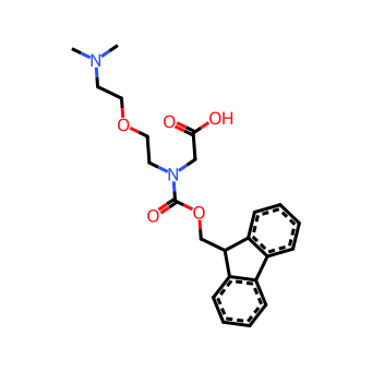 CN(C)CCOCCN(CC(=O)O)C(=O)OCC1c2ccccc2-c2ccccc21